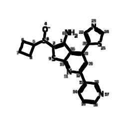 Nc1c([S+]([O-])C2CCC2)sc2nc(-c3cccnc3)cc(-c3cncs3)c12